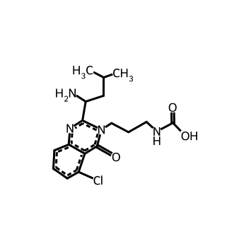 CC(C)CC(N)c1nc2cccc(Cl)c2c(=O)n1CCCNC(=O)O